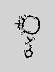 CN1CCCC=CCCC[C@H](CC(=O)NOC2CCCCO2)C(=O)N[C@@H](C(C)(C)C)C1=O